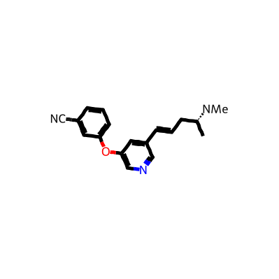 CN[C@H](C)CC=Cc1cncc(Oc2cccc(C#N)c2)c1